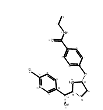 CCNC(=O)c1ccc(C[C@@H]2CC[C@H]([C@H](O)c3ccc(Cl)nc3)N2)cc1